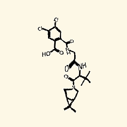 CC(C)(C)C(NC(=O)CNC(=O)c1cc(Cl)c(Cl)cc1C(=O)O)C(=O)N1CC2C(C1)C2(C)C